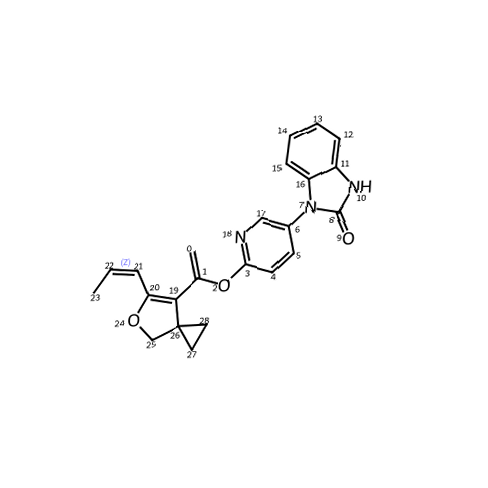 C=C(Oc1ccc(-n2c(=O)[nH]c3ccccc32)cn1)C1=C(/C=C\C)OCC12CC2